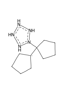 C1CC[C](C2(n3[nH][nH][nH][nH]3)CCCC2)C1